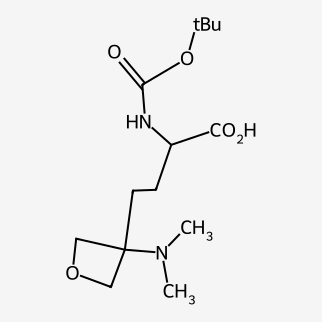 CN(C)C1(CCC(NC(=O)OC(C)(C)C)C(=O)O)COC1